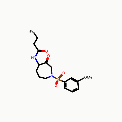 COc1cccc(S(=O)(=O)N2CCCC(NC(=O)CCC(C)C)C(=O)C2)c1